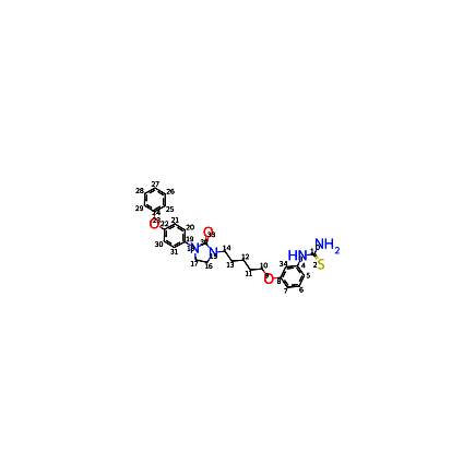 NC(=S)Nc1cccc(OCCCCCN2CCN(c3ccc(Oc4ccccc4)cc3)C2=O)c1